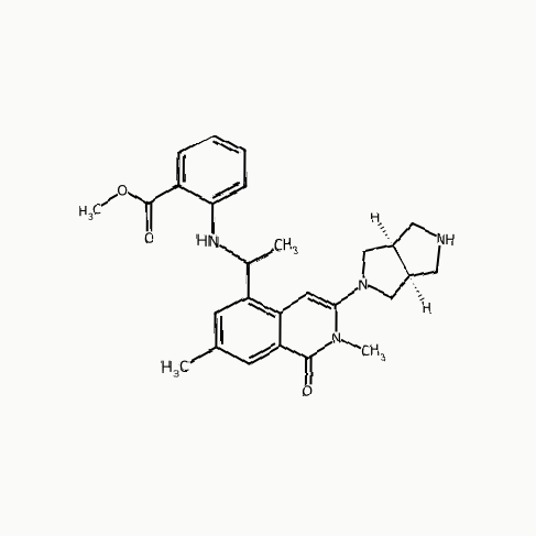 COC(=O)c1ccccc1NC(C)c1cc(C)cc2c(=O)n(C)c(N3C[C@H]4CNC[C@H]4C3)cc12